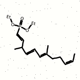 C/C=C\CC/C(C)=C/C=C/C(C)/C=C/P(=O)(OCC)OCC